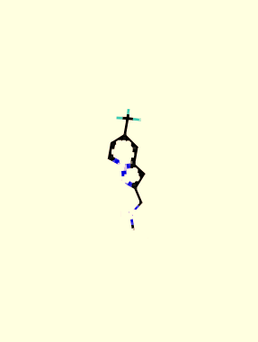 CNCc1cc2cc(C(F)(F)F)ccn2n1